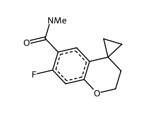 CNC(=O)c1cc2c(cc1F)OCCC21CC1